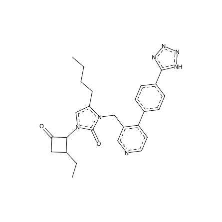 CCCCc1cn(C2C(=O)CC2CC)c(=O)n1Cc1cnccc1-c1ccc(-c2nnn[nH]2)cc1